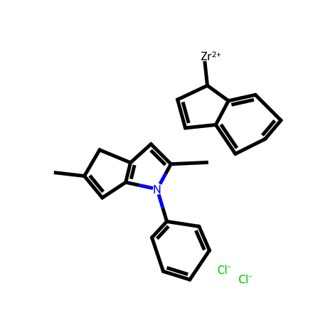 CC1=Cc2c(cc(C)n2-c2ccccc2)C1.[Cl-].[Cl-].[Zr+2][CH]1C=Cc2ccccc21